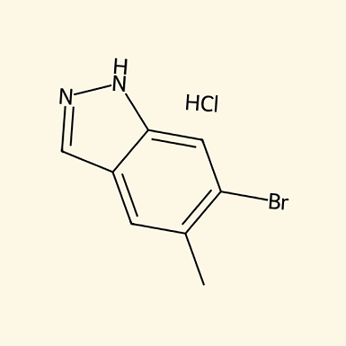 Cc1cc2cn[nH]c2cc1Br.Cl